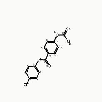 O=C(Sc1ccc(Cl)cc1)c1ccc(OC(=S)Cl)cc1